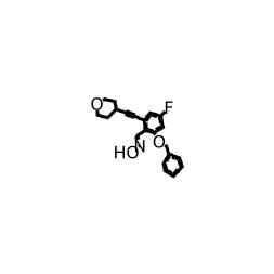 ON=Cc1c(C#CC2CCOCC2)cc(F)cc1OCc1ccccc1